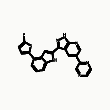 Fc1ccc(-c2cccc3[nH]c(-c4n[nH]c5ncc(-c6cnccn6)cc45)cc23)s1